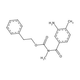 Cc1ccc(C(=O)N(C)C(=O)OCCc2ccccc2)cc1N